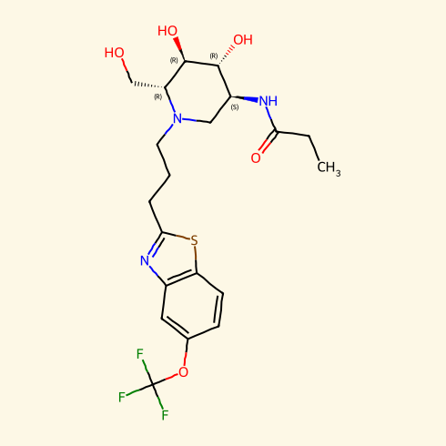 CCC(=O)N[C@H]1CN(CCCc2nc3cc(OC(F)(F)F)ccc3s2)[C@H](CO)[C@@H](O)[C@@H]1O